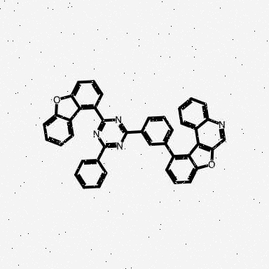 c1ccc(-c2nc(-c3cccc(-c4cccc5oc6cnc7ccccc7c6c45)c3)nc(-c3cccc4oc5ccccc5c34)n2)cc1